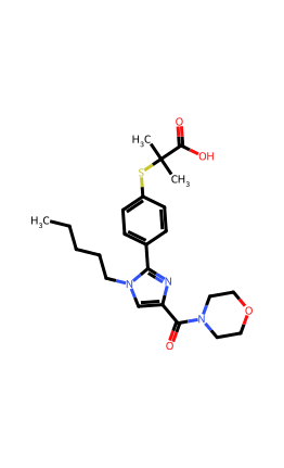 CCCCCn1cc(C(=O)N2CCOCC2)nc1-c1ccc(SC(C)(C)C(=O)O)cc1